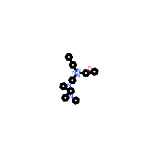 c1ccc(-c2ccc(-c3nc(-c4ccc(-n5c6ccccc6c6c7c8ccccc8n(-c8ccccc8)c7ccc65)cc4)nc(-c4ccc5c(c4)oc4ccccc45)n3)cc2)cc1